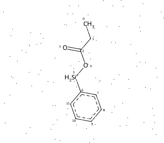 CCC(=O)O[SiH2]c1ccccc1